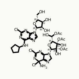 CC(=O)OC(O)[C@H]1O[C@@H](N2CN=C3C2=NC(Cl)=NC3(N)Cl)[C@@](O)(OC(C)=O)[C@@]1(O)OC(C)=O.OC[C@H]1O[C@@H](n2cnc3c(NC4CCCC4)nc(Cl)nc32)[C@H](O)[C@@H]1O